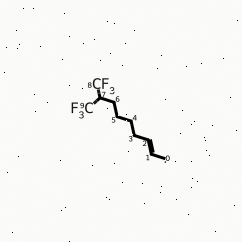 [CH2]/C=C/CCCCC(C(F)(F)F)C(F)(F)F